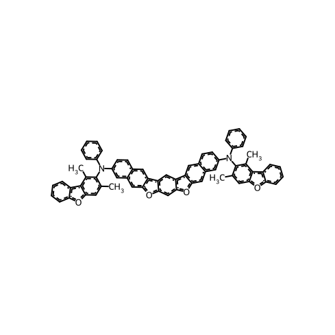 Cc1cc2oc3ccccc3c2c(C)c1N(c1ccccc1)c1ccc2cc3c(cc2c1)oc1cc2oc4cc5cc(N(c6ccccc6)c6c(C)cc7oc8ccccc8c7c6C)ccc5cc4c2cc13